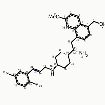 COc1ccc2c(CO)ccc(C[C@H](N)[C@H]3CC[C@H](NC/C=C/c4cc(F)ccc4F)CC3)c2n1